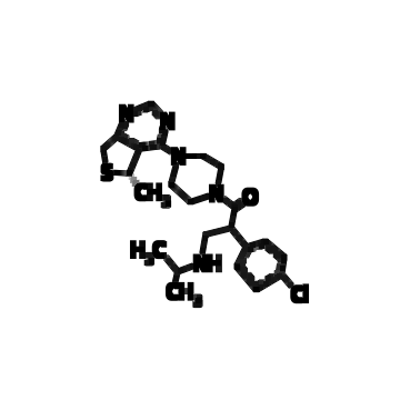 CC(C)NCC(C(=O)N1CCN(c2ncnc3c2[C@H](C)SC3)CC1)c1ccc(Cl)cc1